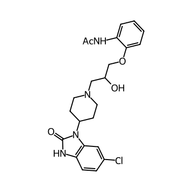 CC(=O)Nc1ccccc1OCC(O)CN1CCC(n2c(=O)[nH]c3ccc(Cl)cc32)CC1